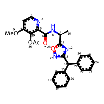 COc1ccnc(C(=O)N[C@@H](C)c2nc(C(c3ccccc3)c3ccccc3)no2)c1OC(C)=O